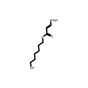 CCCCCCC/C=C/C(=O)OCCCCCCO